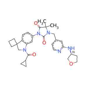 CC1(C)C(=O)N(c2ccc3c(c2)N(C(=O)C2CC2)CC32CCC2)C(=O)N1Cc1ccnc(N[C@H]2CCOC2)c1